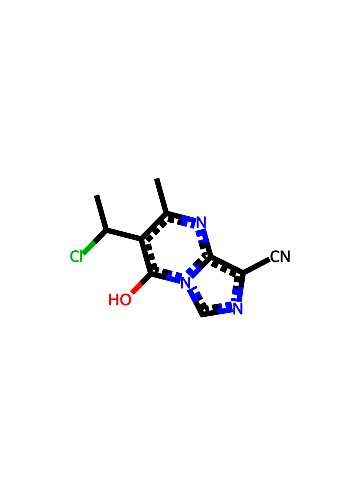 Cc1nc2c(C#N)ncn2c(O)c1C(C)Cl